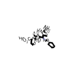 Nc1nc(/C(=N\OC2CCCC2)C(=O)NC2C(=O)N3C(C(=O)O)=CCS[C@H]23)cs1